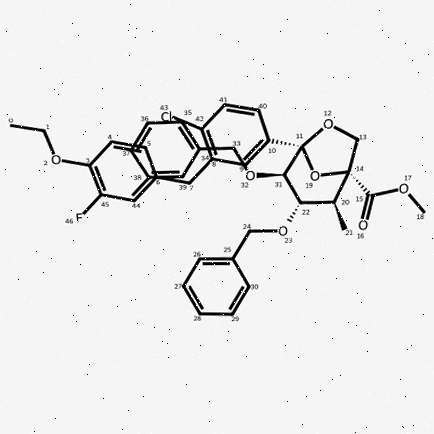 CCOc1ccc(Cc2cc([C@]34OC[C@](C(=O)OC)(O3)[C@@H](C)[C@H](OCc3ccccc3)[C@H]4OCc3ccccc3)ccc2Cl)cc1F